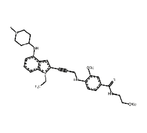 COCCNC(=O)c1ccc(NCC#Cc2cc3c(NC4CCN(C)CC4)cccc3n2CC(F)(F)F)c(OC)c1